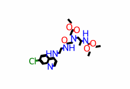 CCOC(=O)CN(CC(=O)NCCNc1ccnc2cc(Cl)ccc12)CC(C)NC(OCC)OCC